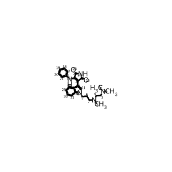 CN(C)CCN(C)CCCn1cc(C2=C(Nc3ccccc3)C(=O)NC2=O)c2ccccc21